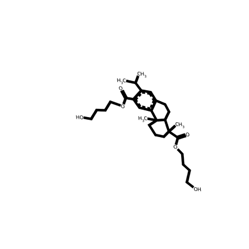 CC(C)c1cc2c(cc1C(=O)OCCCCO)C1(C)CCCC(C)(C(=O)OCCCCO)C1CC2